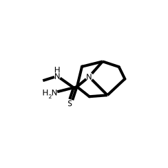 CNC(=S)N1C2CCC1CC(N)C2